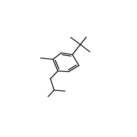 Cc1cc(C(C)(C)C)ccc1[CH]C(C)C